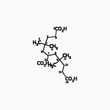 CC(C)(CCC(=O)O)CC(CC(C)(C)CCC(=O)O)C(=O)O